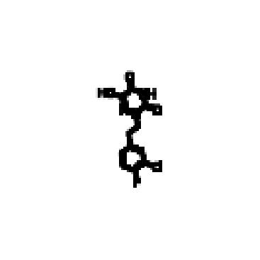 O=c1[nH]c(=O)n(CCc2ccc(F)c(Cl)c2)nc1O